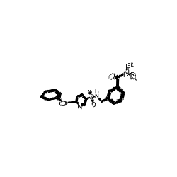 CCN(CC)C(=O)c1cccc(CNS(=O)(=O)c2ccc(Oc3ccccc3)nc2)c1